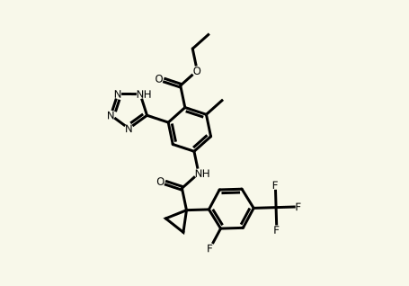 CCOC(=O)c1c(C)cc(NC(=O)C2(c3ccc(C(F)(F)F)cc3F)CC2)cc1-c1nnn[nH]1